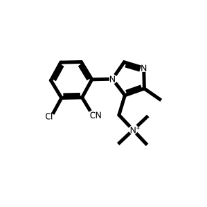 Cc1ncn(-c2cccc(Cl)c2C#N)c1C[N+](C)(C)C